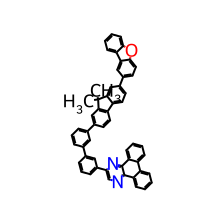 CC1(C)c2cc(-c3cccc(-c4cccc(-c5cnc6c7ccccc7c7ccccc7c6n5)c4)c3)ccc2-c2ccc(-c3ccc4oc5ccccc5c4c3)cc21